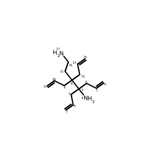 C=CCC(N)(CC=C)C(CC=C)(CC=C)CCN